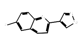 Fc1ccc2nc(-c3cn[nH]c3)ccc2c1